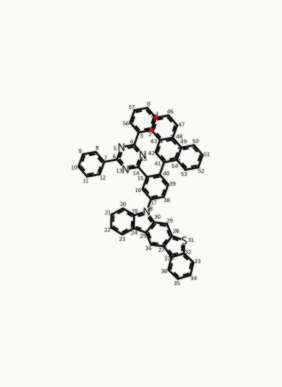 c1ccc(-c2nc(-c3ccccc3)nc(-c3cc(-n4c5ccccc5c5cc6c(cc54)sc4ccccc46)ccc3-c3cc4ccccc4c4ccccc34)n2)cc1